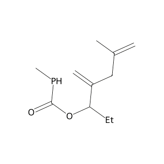 C=C(C)CC(=C)C(CC)OC(=O)PC